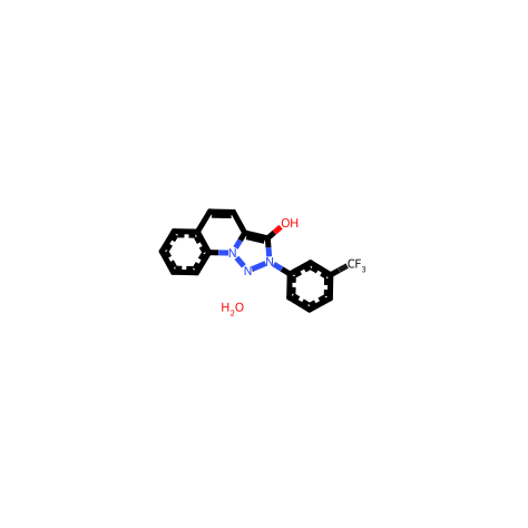 O.OC1=C2C=Cc3ccccc3N2[N]N1c1cccc(C(F)(F)F)c1